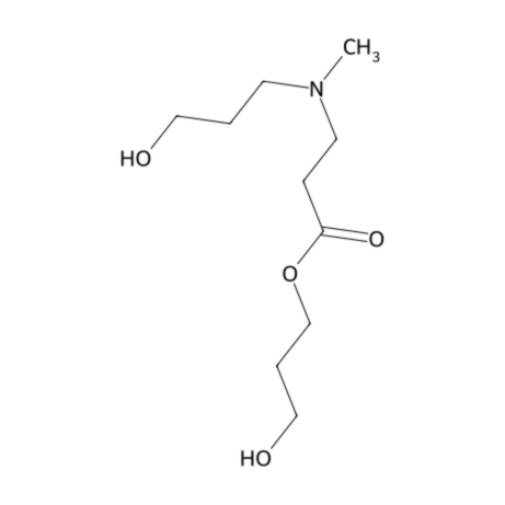 CN(CCCO)CCC(=O)OCCCO